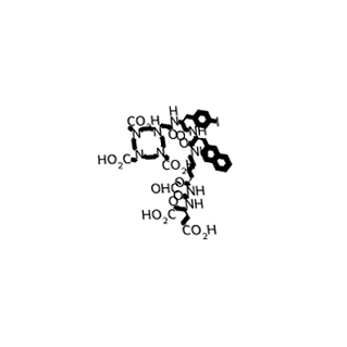 O=CO[C@H](CCCCNC(=O)[C@H](Cc1ccc2ccccc2c1)NC(=O)[C@H](Cc1ccc(I)cc1)NC(=O)CN1CCN(CC(=O)O)CCN(CC(=O)O)CCN(CC(=O)O)CC1)NC(=O)N[C@@H](CCC(=O)O)C(=O)C(=O)O